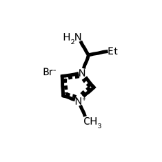 CCC(N)n1cc[n+](C)c1.[Br-]